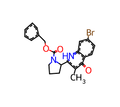 Cc1c(C2CCCN2C(=O)OCc2ccccc2)[nH]c2cc(Br)ccc2c1=O